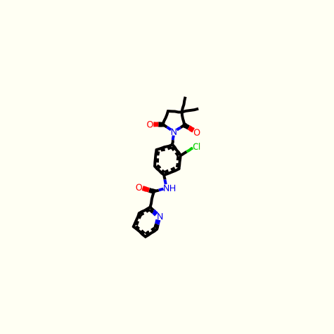 CC1(C)CC(=O)N(c2ccc(NC(=O)c3ccccn3)cc2Cl)C1=O